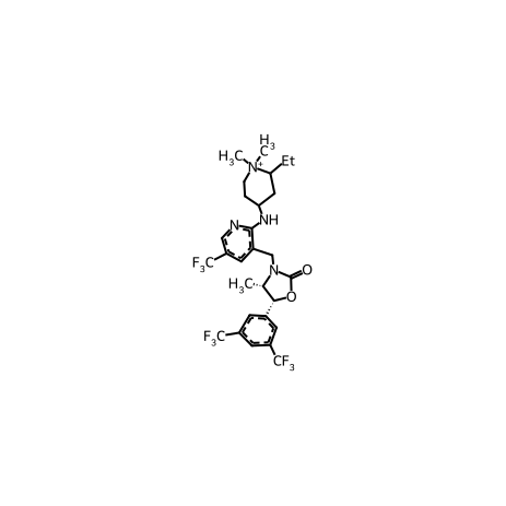 CCC1CC(Nc2ncc(C(F)(F)F)cc2CN2C(=O)O[C@H](c3cc(C(F)(F)F)cc(C(F)(F)F)c3)[C@@H]2C)CC[N+]1(C)C